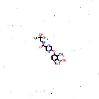 Cc1c(Oc2cnc(C(=O)NCC(C)(C)O)cn2)ccc2c1B(O)OC2